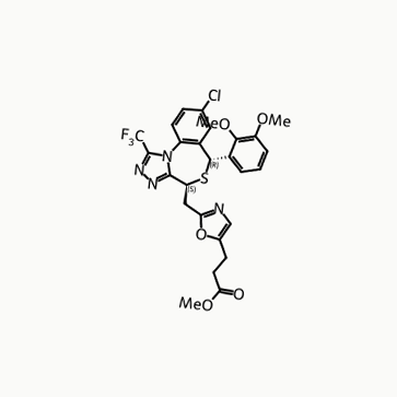 COC(=O)CCc1cnc(C[C@@H]2S[C@@H](c3cccc(OC)c3OC)c3cc(Cl)ccc3-n3c2nnc3C(F)(F)F)o1